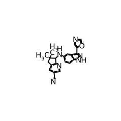 CC1(C)Cc2cc(C#N)cnc2C1Nc1ccc2[nH]nc(-c3cnco3)c2c1